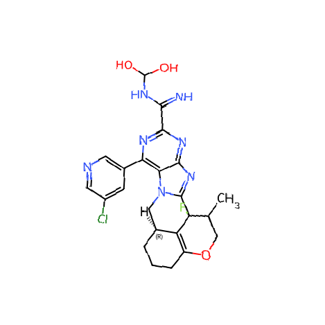 CC1COC2=C3[C@@H](CCC2)Cn2c(nc4nc(C(=N)NC(O)O)nc(-c5cncc(Cl)c5)c42)C31F